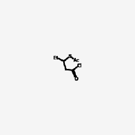 CCC(CC(=O)Cl)SC(C)=O